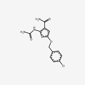 NC(=O)Nc1sc(OCc2ccc(Cl)cc2)cc1C(N)=O